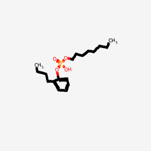 CCCCCCCCOP(=O)(O)Oc1ccccc1CCCC